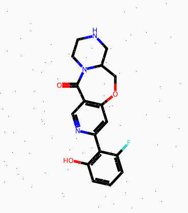 O=C1c2cnc(-c3c(O)cccc3F)cc2OCC2CNCCN12